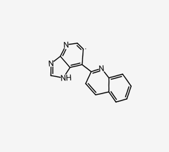 [c]1cnc2nc[nH]c2c1-c1ccc2ccccc2n1